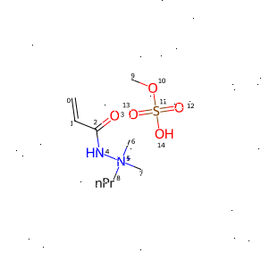 C=CC(=O)N[N+](C)(C)CCC.COS(=O)(=O)O